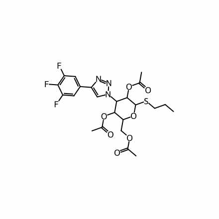 CCCSC1OC(COC(C)=O)C(OC(C)=O)C(n2cc(-c3cc(F)c(F)c(F)c3)nn2)C1OC(C)=O